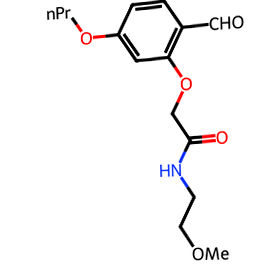 CCCOc1ccc(C=O)c(OCC(=O)NCCOC)c1